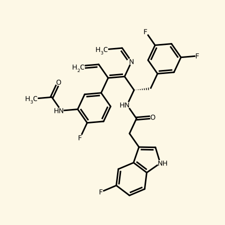 C=C/C(=C(\N=C/C)[C@H](Cc1cc(F)cc(F)c1)NC(=O)Cc1c[nH]c2ccc(F)cc12)c1ccc(F)c(NC(C)=O)c1